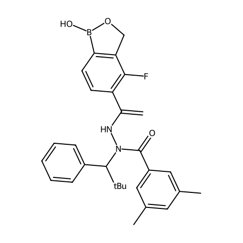 C=C(NN(C(=O)c1cc(C)cc(C)c1)C(c1ccccc1)C(C)(C)C)c1ccc2c(c1F)COB2O